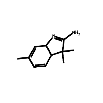 CC1=CC2N=C(N)C(C)(C)C2C=C1